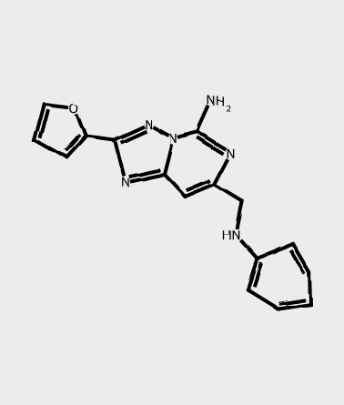 Nc1nc(CNc2ccccc2)cc2nc(-c3ccco3)nn12